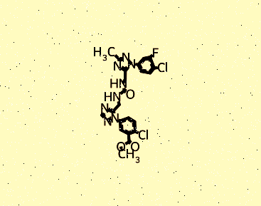 COC(=O)c1cc(-n2ncnc2CNC(=O)NCc2nc(C)nn2-c2ccc(Cl)c(F)c2)ccc1Cl